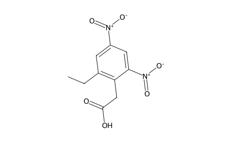 CCc1cc([N+](=O)[O-])cc([N+](=O)[O-])c1CC(=O)O